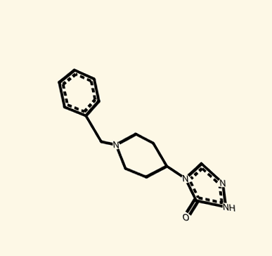 O=c1[nH]ncn1C1CCN(Cc2ccccc2)CC1